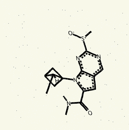 C[C@@H]1C2CC1(n1c(C(=O)N(C)C)cc3cnc([S+](C)[O-])nc31)C2